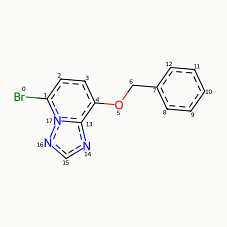 Brc1ccc(OCc2ccccc2)c2ncnn12